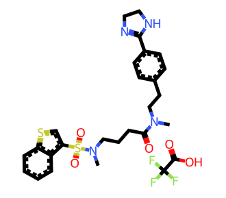 CN(CCc1ccc(C2=NCCN2)cc1)C(=O)CCCN(C)S(=O)(=O)c1csc2ccccc12.O=C(O)C(F)(F)F